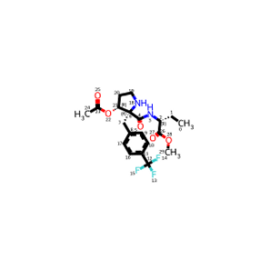 CC[C@@H](NC(=O)[C@]1(Cc2ccc(C(F)(F)F)cc2)NCC[C@H]1OC(C)=O)C(=O)OC